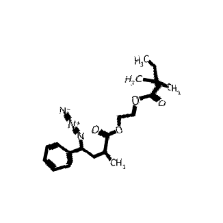 CCC(C)(C)C(=O)OCCOC(=O)C(C)CC(N=[N+]=[N-])c1ccccc1